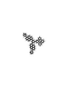 c1ccc([Si](c2ccccc2)(c2ccccc2)c2ccc(-c3cc(-c4ccc5ccc6c(-c7ccncc7)ccc7ccc4c5c76)cc(-c4ccc5ccc6c(-c7ccncc7)ccc7ccc4c5c76)c3)cc2)cc1